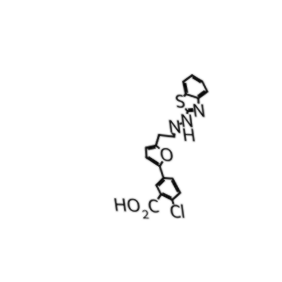 O=C(O)c1cc(-c2ccc(CC=NNc3nc4ccccc4s3)o2)ccc1Cl